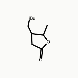 CCC(C)CC1CC(=O)OC1C